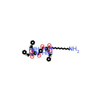 NCCCCCCCCCCCCNC(=O)[C@@H]1CN(C(=O)c2ccc(C(=O)N3C[C@@H](C(=O)N[C@H]4C[C@@H]4c4ccccc4)[C@H](C(=O)N[C@H]4C[C@@H]4c4ccccc4)C3)cc2)C[C@H]1C(=O)N[C@H]1C[C@@H]1c1ccccc1